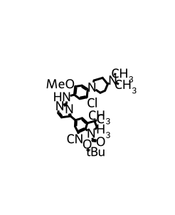 COc1cc(N2CCC(N(C)C)CC2)c(Cl)cc1Nc1nccc(-c2cc(C#N)c3c(c2)C(C)(C)CN3C(=O)OC(C)(C)C)n1